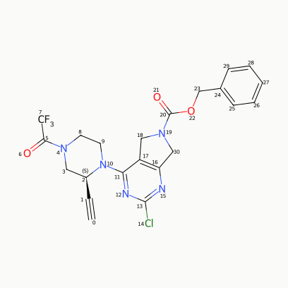 C#C[C@H]1CN(C(=O)C(F)(F)F)CCN1c1nc(Cl)nc2c1CN(C(=O)OCc1ccccc1)C2